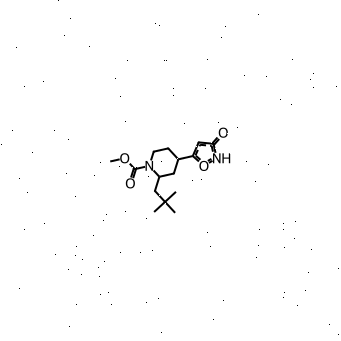 COC(=O)N1CCC(c2cc(=O)[nH]o2)CC1CC(C)(C)C